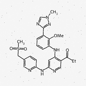 CCC(=O)c1cnc(Nc2ccc(CS(C)(=O)=O)cn2)cc1Nc1cccc(-c2ncn(C)n2)c1OC